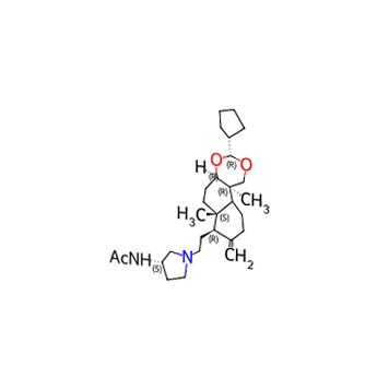 C=C1CCC2[C@]3(C)CO[C@@H](C4CCCC4)O[C@@H]3CC[C@@]2(C)[C@@H]1CCN1CC[C@H](NC(C)=O)C1